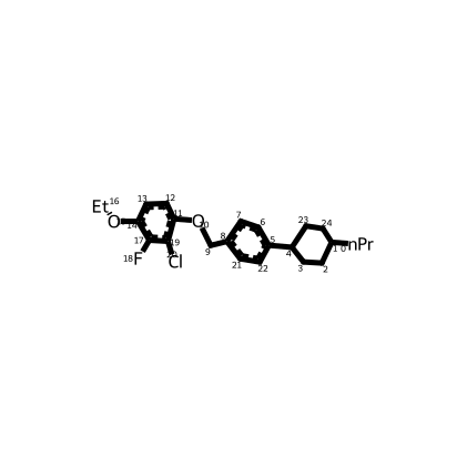 CCCC1CCC(c2ccc(COc3ccc(OCC)c(F)c3Cl)cc2)CC1